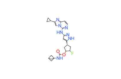 O=C(NC12CC(C1)C2)O[C@H]1C[C@@H](c2cc(Nc3nccc4nc(C5CC5)cn34)n[nH]2)C[C@H]1F